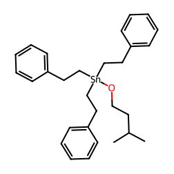 CC(C)CC[O][Sn]([CH2]Cc1ccccc1)([CH2]Cc1ccccc1)[CH2]Cc1ccccc1